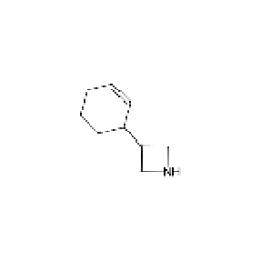 C1=CC(C2CNC2)CCC1